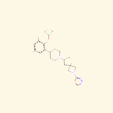 Fc1cc(F)c(OC2COC2)c(C2CCN(C3COC4(C3)CN(c3nnco3)C4)CC2)c1